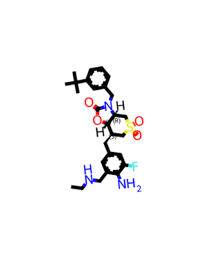 CCNCc1cc(C[C@@H]2CS(=O)(=O)C[C@H]3[C@H]2OC(=O)N3Cc2cccc(C(C)(C)C)c2)cc(F)c1N